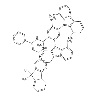 CC1=CCCc2c1n(-c1cc(-n3c4c(c5cccc(C)c53)C=CCC4C)c(C#N)cc1C1NC(c3ccccc3)=NC(c3ccc4c(c3)C(C)(C)C3=CC=CCC34)N1)c1c(C)cccc21